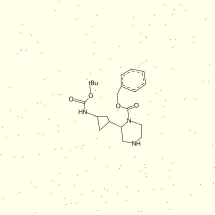 CC(C)(C)OC(=O)NC1CC(C2CNCCN2C(=O)OCc2ccccc2)C1